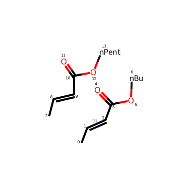 C/C=C/C(=O)OCCCC.CC=CC(=O)OCCCCC